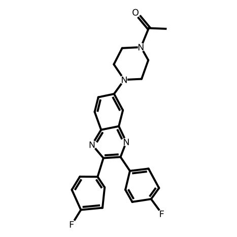 CC(=O)N1CCN(c2ccc3nc(-c4ccc(F)cc4)c(-c4ccc(F)cc4)nc3c2)CC1